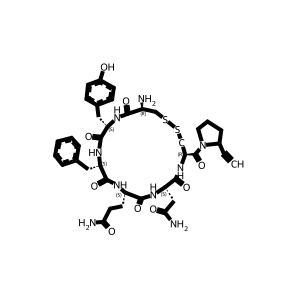 C#CC1CCCN1C(=O)[C@@H]1CSSC[C@H](N)C(=O)N[C@@H](Cc2ccc(O)cc2)C(=O)N[C@@H](Cc2ccccc2)C(=O)N[C@@H](CCC(N)=O)C(=O)N[C@@H](CC(N)=O)C(=O)N1